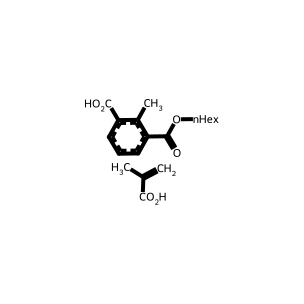 C=C(C)C(=O)O.CCCCCCOC(=O)c1cccc(C(=O)O)c1C